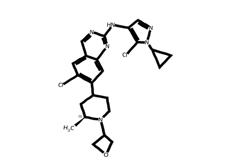 C[C@H]1CC(c2cc3nc(Nc4cnn(C5CC5)c4Cl)ncc3cc2Cl)CCN1C1COC1